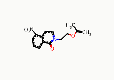 C=C(C)OCCn1ccc2c([N+](=O)[O-])cccc2c1=O